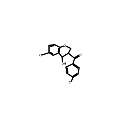 O=C(c1ccc(Cl)cc1)C1COc2ccc(Cl)cc2C1O